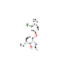 Cc1nc2c(Oc3ccc(C(F)(F)F)c(F)c3)ccc(C#N)c2o1